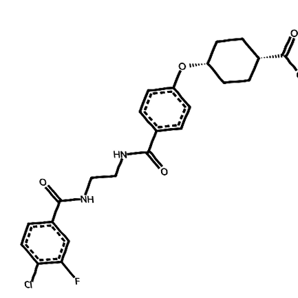 O=C(NCCNC(=O)c1ccc(Cl)c(F)c1)c1ccc(O[C@H]2CC[C@@H](C(=O)O)CC2)cc1